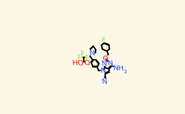 N#Cc1cc2c(N)nc(OCC3CC=C(F)CC3)nc2n1Cc1ccc(CN2CCCC2)cc1.O=C(O)C(F)(F)F